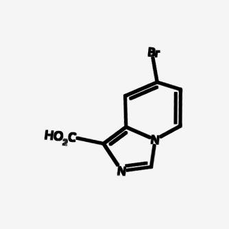 O=C(O)c1ncn2ccc(Br)cc12